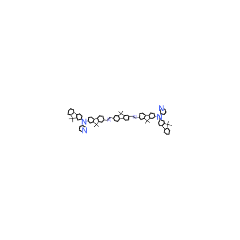 CC1(C)c2cc(/C=C/c3ccc4c(c3)C(C)(C)c3cc(N(c5cccnc5)c5ccc6c(c5)C(C)(C)c5ccccc5-6)ccc3-4)ccc2-c2ccc(/C=C/c3ccc4c(c3)C(C)(C)c3cc(N(c5cccnc5)c5ccc6c(c5)C(C)(C)c5ccccc5-6)ccc3-4)cc21